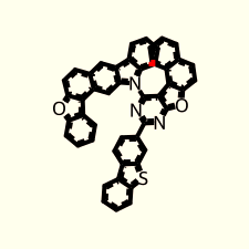 c1ccc2c(c1)ccc1oc3nc(-c4ccc5c(c4)sc4ccccc45)nc(-n4c5ccccc5c5cc6ccc7oc8ccccc8c7c6cc54)c3c12